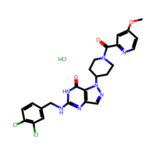 COc1ccnc(C(=O)N2CCC(n3ncc4nc(NCc5ccc(Cl)c(Cl)c5)[nH]c(=O)c43)CC2)c1.Cl